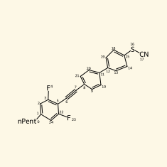 CCCCCc1cc(F)c(C#Cc2ccc(-c3ccc(SC#N)cc3)cc2)c(F)c1